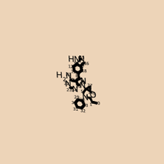 C=CC(=O)N(CC1(n2nc(-c3ccc4[nH]ncc4c3)c3c(N)ncnc32)CC1)c1ccccc1